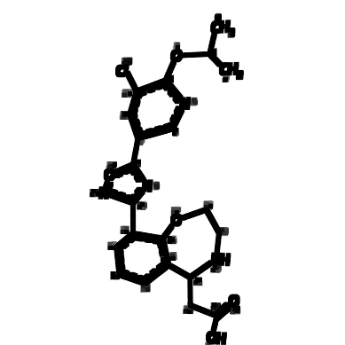 CC(C)Oc1ncc(-c2nc(-c3cccc4c3OCCNC4CC(=O)O)no2)cc1Cl